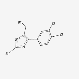 CC(C)Cc1sc(Br)nc1-c1ccc(Cl)c(Cl)c1